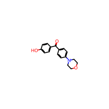 O=C(c1ccc(O)cc1)c1ccc(N2CCOCC2)cc1